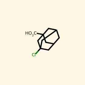 O=C(O)C12CC3CC(CC(Cl)(C3)C1)C2